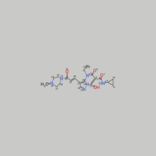 CC(C)Cn1c(=O)c(C(=O)NC2CC2)c(O)n2ncc(C=CC(=O)N3CCN(C)CC3)c12